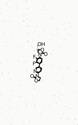 O=C1OCCN1c1ccc(-c2ccc(N3C[C@H](CO)OC3=O)c(F)c2F)cn1